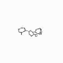 Cc1ccccc1-c1ccc2oc3ncccc3c2c1